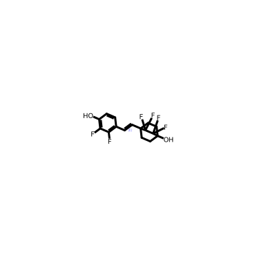 Oc1ccc(/C=C/C23CCC(O)(CC2)C(F)(F)C3(F)F)c(F)c1F